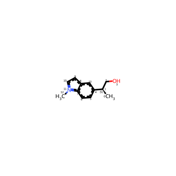 C[C@H](CO)c1ccc2c(ccn2C)c1